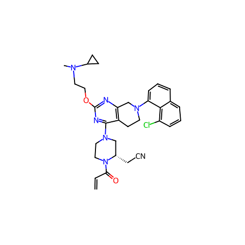 C=CC(=O)N1CCN(c2nc(OCCN(C)C3CC3)nc3c2CCN(c2cccc4cccc(Cl)c24)C3)C[C@@H]1CC#N